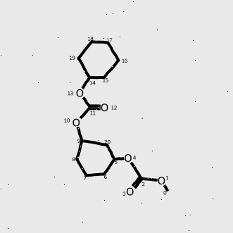 COC(=O)OC1CCCC(OC(=O)OC2CCCCC2)C1